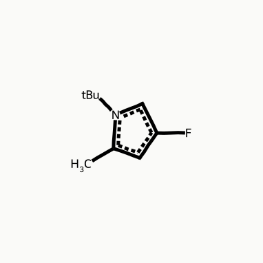 Cc1cc(F)cn1C(C)(C)C